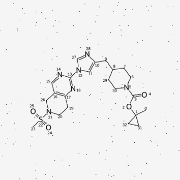 CC1(OC(=O)N2CCC(Cc3cn(-c4ncc5c(n4)CCN(S(C)(=O)=O)C5)cn3)CC2)CC1